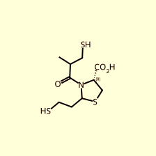 CC(CS)C(=O)N1C(CCS)SC[C@H]1C(=O)O